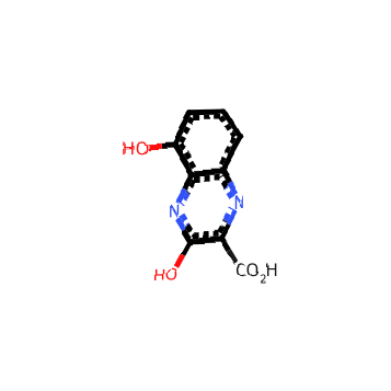 O=C(O)c1nc2cccc(O)c2nc1O